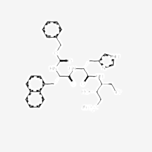 CCOC(=O)C[C@H](O)[C@H](CC(C)C)NC(=O)[C@@H](Cc1c[nH]cn1)NC(=O)[C@H](Cc1cccc2ccccc12)NC(=O)OCc1ccccc1